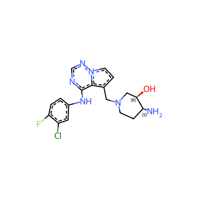 N[C@H]1CCN(Cc2ccn3ncnc(Nc4ccc(F)c(Cl)c4)c23)C[C@H]1O